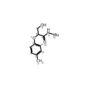 Cc1ccc(OC(CO)C(=O)NC(C)(C)C)cc1